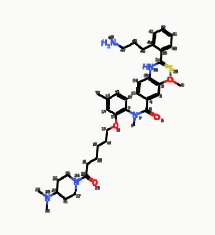 COc1cc(C(=O)N(C)c2ccc(C)cc2OCCCCCC(=O)N2CCC(N(C)C)CC2)ccc1NC(=S)c1ccccc1CCCN